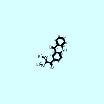 CCOC(OCC)C(=O)c1ccc2[nH]c3ccccc3c(=O)c2c1